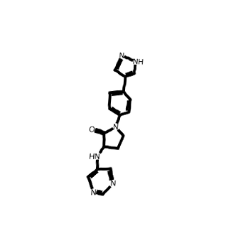 O=C1C(Nc2cncnc2)CCN1c1ccc(-c2cn[nH]c2)cc1